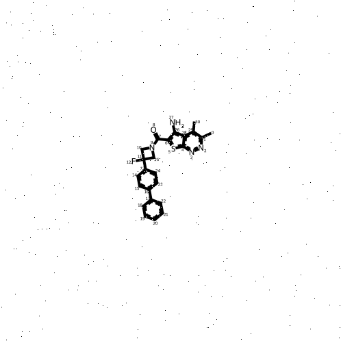 Cc1nnc2sc(C(=O)N3CC(F)(c4ccc(-c5ccccc5)cc4)C3)c(N)c2c1C